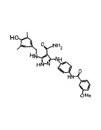 COc1cccc(C(=O)Nc2ccc(Nc3n[nH]c(NCc4cc(C)c(O)c(C)c4)c3C(N)=O)cc2)c1